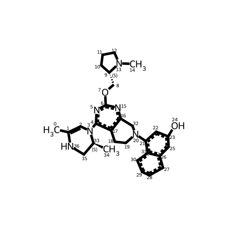 CC1=CN(c2nc(OC[C@@H]3CCCN3C)nc3c2CCN(c2cc(O)cc4ccccc24)C3)[C@@H](C)CN1